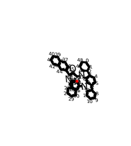 C1=CC2c3ccc4c5ccccc5n(-c5ccccc5)c4c3N(c3nc(-c4ccccc4)nc4c3oc3cc5ccccc5cc34)C2C=C1